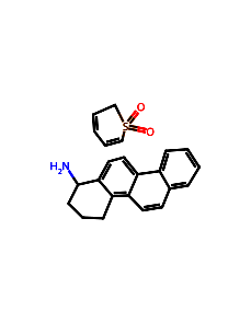 NC1CCCc2c1ccc1c2ccc2ccccc21.O=S1(=O)C=CC=CC1